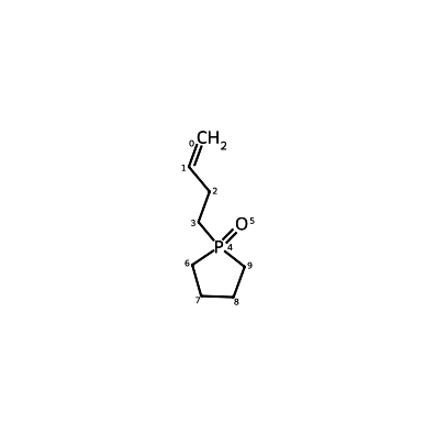 C=CCCP1(=O)CCCC1